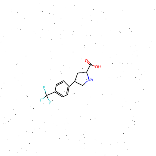 O=C(O)C1CC(c2ccc(C(F)(F)F)cc2)CN1